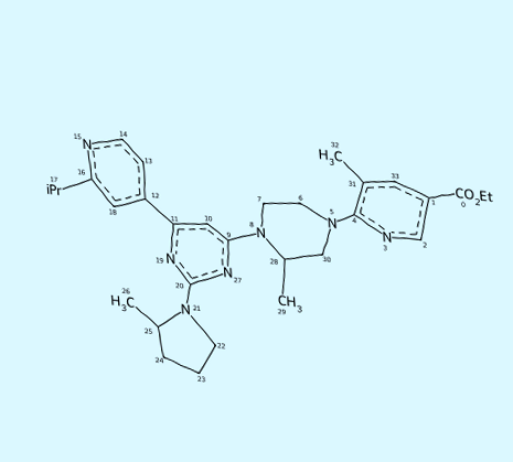 CCOC(=O)c1cnc(N2CCN(c3cc(-c4ccnc(C(C)C)c4)nc(N4CCCC4C)n3)C(C)C2)c(C)c1